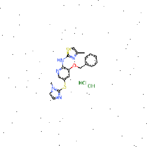 Cc1csc(Nc2ncc(Sc3nccn3C)cc2OCc2ccccc2)n1.Cl.Cl